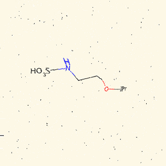 CC(C)OCCNS(=O)(=O)O